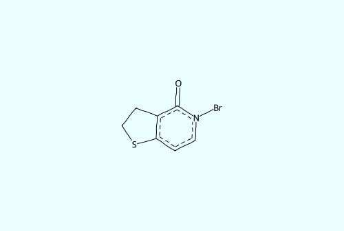 O=c1c2c(ccn1Br)SCC2